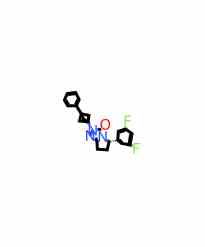 O=c1n(C23CC(c4ccccc4)(C2)C3)nc2n1[C@H](c1cc(F)cc(F)c1)CC2